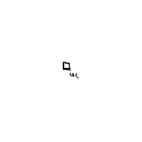 C1=CCC1.N